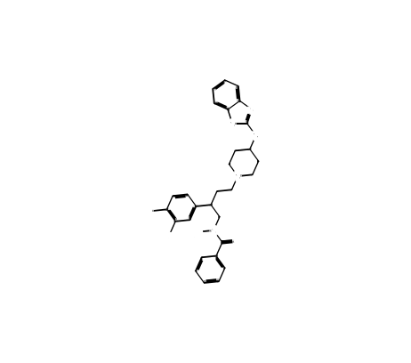 CN(CC(CCN1CCC(Nc2nc3ccccc3[nH]2)CC1)c1ccc(Cl)c(Cl)c1)C(=O)c1ccccc1